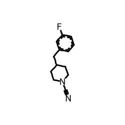 N#CN1CCC(Cc2cccc(F)c2)CC1